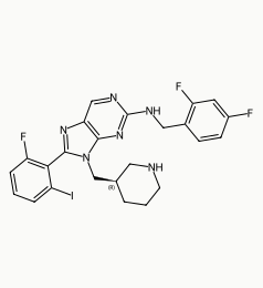 Fc1ccc(CNc2ncc3nc(-c4c(F)cccc4I)n(C[C@@H]4CCCNC4)c3n2)c(F)c1